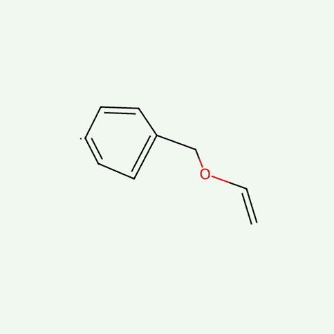 C=COCc1cc[c]cc1